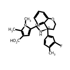 Cc1ccc([C@@]2(NC(=O)c3cc(C(=O)O)c(C)n3C)CCOc3cccnc32)cc1F